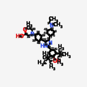 CCN(C)c1ccc(-c2nc(-c3cc(C(C)(C)C)c(O)c(C(C)(C)C)c3)[nH]c2-c2ccc(N(CC)CC(=O)O)cc2)cc1